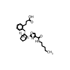 CCCCCNC(=O)c1coc([C@@H]2C3CC[C@H](O3)[C@@H]2Cc2ccccc2CCC(=O)O)n1